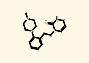 CN1CCN(c2ccccc2CCN2C=CCNC2=O)CC1